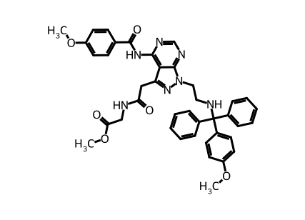 COC(=O)CNC(=O)Cc1nn(CCNC(c2ccccc2)(c2ccccc2)c2ccc(OC)cc2)c2ncnc(NC(=O)c3ccc(OC)cc3)c12